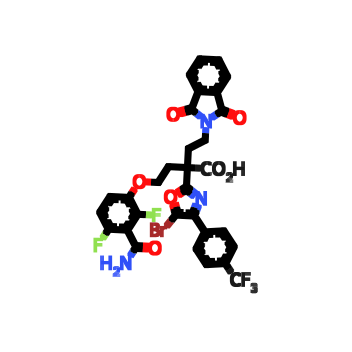 NC(=O)c1c(F)ccc(OCCC(CCN2C(=O)c3ccccc3C2=O)(C(=O)O)c2nc(-c3ccc(C(F)(F)F)cc3)c(Br)o2)c1F